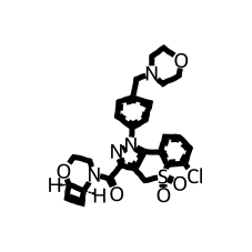 O=C(c1nn(-c2ccc(CN3CCOCC3)cc2)c2c1CS(=O)(=O)c1c(Cl)cccc1-2)N1CCO[C@@H]2C=C[C@@H]21